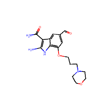 NC(=O)c1c(N)[nH]c2c(OCCCN3CCOCC3)cc(C=O)cc12